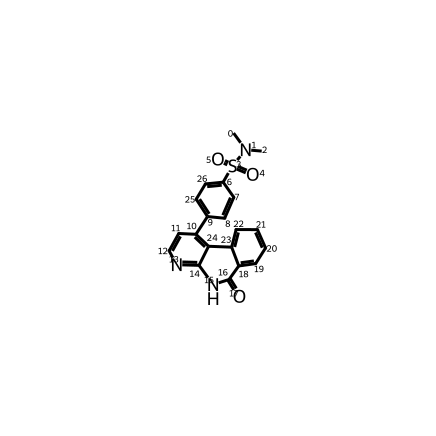 CN(C)S(=O)(=O)c1ccc(-c2ccnc3[nH]c(=O)c4ccccc4c23)cc1